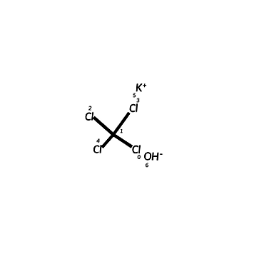 ClC(Cl)(Cl)Cl.[K+].[OH-]